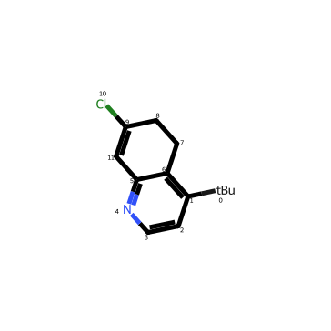 CC(C)(C)c1ccnc2c1CCC(Cl)=C2